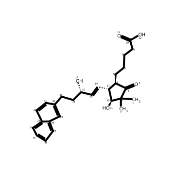 CC1(C)C(=O)[C@H](CCCCC(=O)O)[C@@H](/C=C/[C@@H](O)CCc2ccc3ccccc3c2)[C@@H]1O